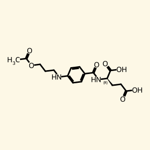 CC(=O)OCCCNc1ccc(C(=O)N[C@H](CCC(=O)O)C(=O)O)cc1